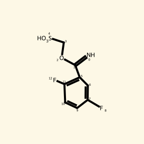 N=C(OCS(=O)(=O)O)c1cc(F)ccc1F